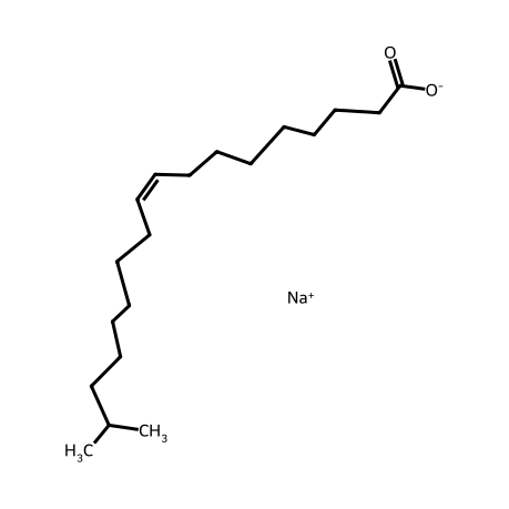 CC(C)CCCCCC/C=C\CCCCCCCC(=O)[O-].[Na+]